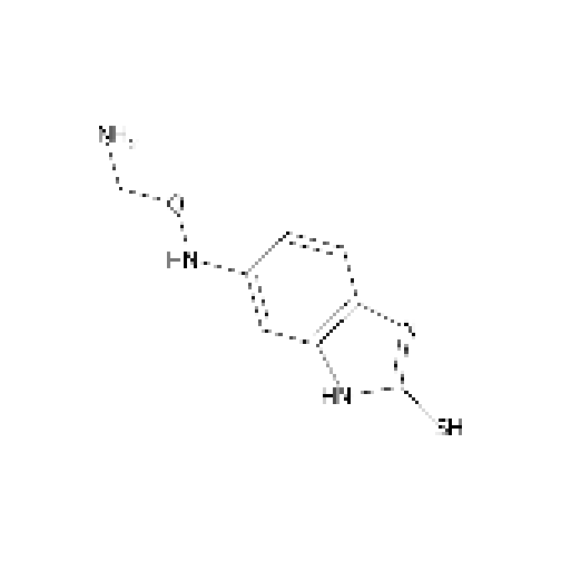 NCONc1ccc2nc(S)[nH]c2c1